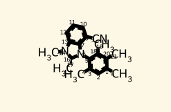 Cc1cc(C)c(N2c3c(C#N)cccc3N(C)[C@@H]2C)c(C)c1C